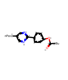 CCCCCc1cnc(-c2ccc(OC(=O)C(C)CC)cc2)nc1